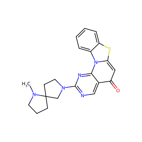 CN1CCCC12CCN(c1ncc3c(=O)cc4sc5ccccc5n4c3n1)C2